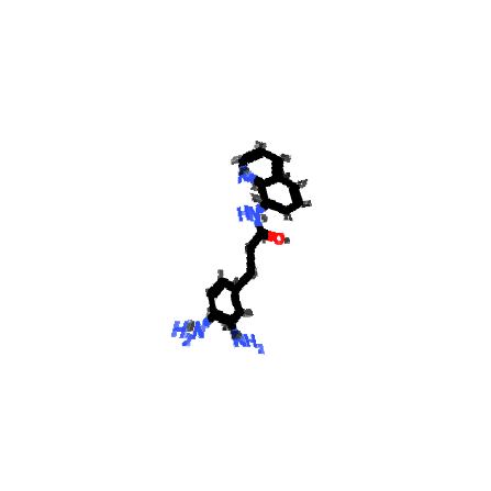 Nc1ccc(CCC(=O)Nc2cccc3cccnc23)cc1N